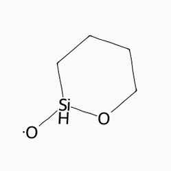 [O][SiH]1CCCCO1